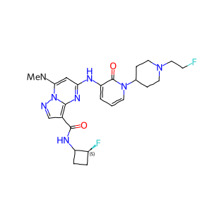 CNc1cc(Nc2cccn(C3CCN(CCF)CC3)c2=O)nc2c(C(=O)NC3CC[C@@H]3F)cnn12